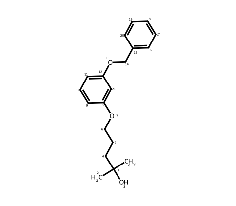 CC(C)(O)CCCOc1cccc(OCc2ccccc2)c1